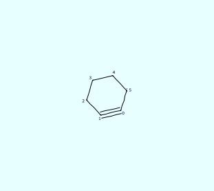 C1#CCCC[CH]1